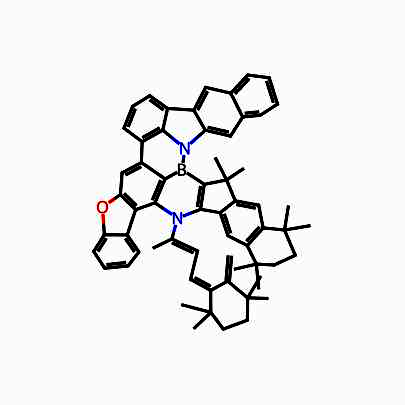 C=C1/C(=C\C=C(/C)N2C3=C(B4c5c(cc6oc7ccccc7c6c52)-c2cccc5c6cc7ccccc7cc6n4c25)C(C)(C)c2cc4c(cc23)C(C)(C)CCC4(C)C)C(C)(C)CCC1(C)C